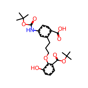 CC(C)(C)OC(=O)Nc1ccc(C(=O)O)c(CCCOc2c(O)cccc2C(=O)OC(C)(C)C)c1